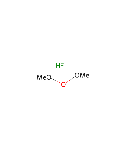 COOOC.F